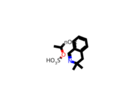 CC1(C)Cc2ccccc2C=N1.CCCCCCCCC(C)OS(=O)(=O)O